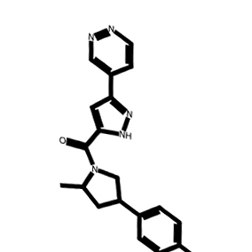 CC1CC(c2ccc(Cl)cc2)CN1C(=O)c1cc(-c2ccnnc2)n[nH]1